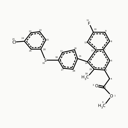 COC(=O)Cc1cc2ccc(F)cc2c(-c2ccc(Sc3cccc(Cl)c3)cc2)c1C